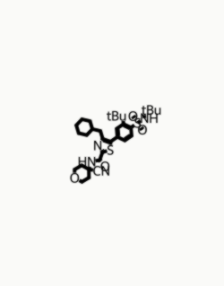 CC(C)(C)NS(=O)(=O)c1ccc(-c2sc(C(=O)NC3(C#N)CCOCC3)nc2CC2CCCCC2)cc1C(C)(C)C